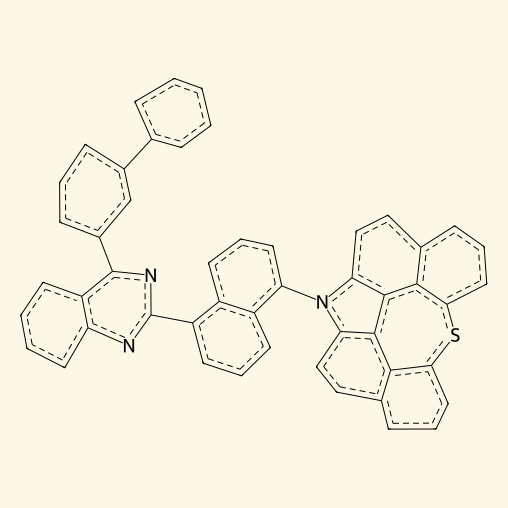 c1ccc(-c2cccc(-c3nc(-c4cccc5c(-n6c7ccc8cccc9sc%10cccc%11ccc6c(c%11%10)c7c89)cccc45)nc4ccccc34)c2)cc1